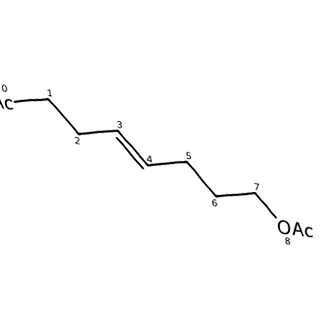 CC(=O)CCC=CCCCOC(C)=O